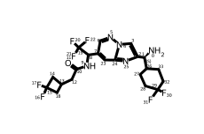 N[C@H](c1cn2ncc(C(NC(=O)CC3CC(F)(F)C3)C(F)(F)F)cc2n1)C1CCC(F)(F)CC1